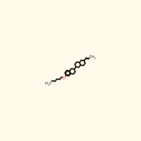 CC=CC1CCC2CC(C3CCc4cc(OCCCCCC)ccc4C3)CCC2C1